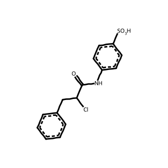 O=C(Nc1ccc(S(=O)(=O)O)cc1)C(Cl)Cc1ccccc1